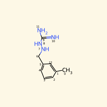 Cc1cccc(CNNC(=N)N)c1